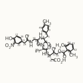 Cc1ccc(C[C@H](NC(=O)CNC(=O)Cc2ccc(O)c([N+](=O)[O-])c2)C(=O)N[C@H](C(=O)N[C@@H](CC(=O)O)C(=O)COC(=O)c2c(C)cccc2C)C(C)C)cc1